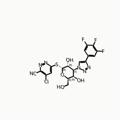 N#Cc1nnc(S[C@H]2O[C@H](CO)[C@H](O)[C@H](n3cc(-c4cc(F)c(F)c(F)c4)nn3)[C@H]2O)cc1Cl